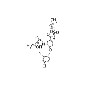 C[C@H](O)[C@@H]1CC[C@H]1CN1CCCCc2cc(Cl)ccc2COc2ccc(C(=O)NS(=O)(=O)C[C@@H]3C[C@@H]3C)cc21